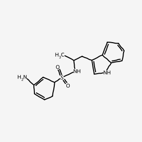 CC(Cc1c[nH]c2ccccc12)NS(=O)(=O)C1C=C(N)C=CC1